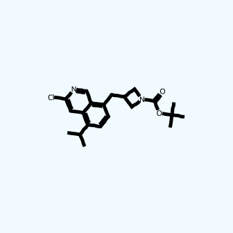 CC(C)c1ccc(CC2CN(C(=O)OC(C)(C)C)C2)c2cnc(Cl)cc12